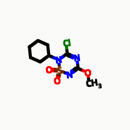 COC1=NS(=O)(=O)N(C2CCCCC2)C(Cl)=N1